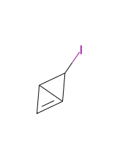 IC1C2=CC21